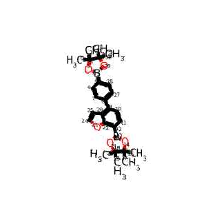 CC1(C)OB(c2ccc(-c3ccc(B4OC(C)(C)C(C)(C)O4)c4occc34)cc2)OC1(C)C